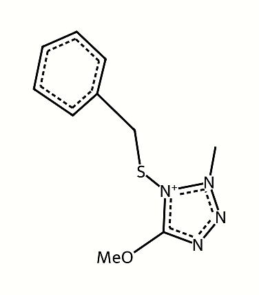 COc1nnn(C)[n+]1SCc1ccccc1